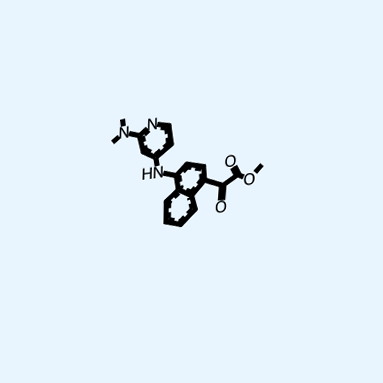 COC(=O)C(=O)c1ccc(Nc2ccnc(N(C)C)c2)c2ccccc12